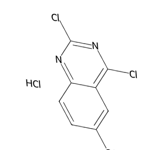 COc1ccc2nc(Cl)nc(Cl)c2c1.Cl